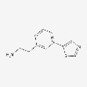 NCCc1cccc(-c2cncs2)c1